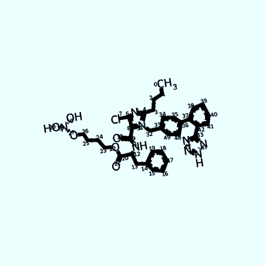 CCCCc1nc(Cl)c(C(=O)NC(Cc2ccccc2)C(=O)OCCCCON(O)O)n1Cc1ccc(-c2ccccc2-c2nn[nH]n2)cc1